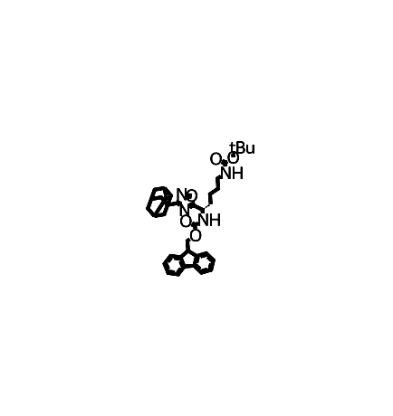 CC(C)(C)OC(=O)NCCCC[C@H](NC(=O)OCC1c2ccccc2-c2ccccc21)c1nc(C23CC4CC(CC(C4)C2)C3)no1